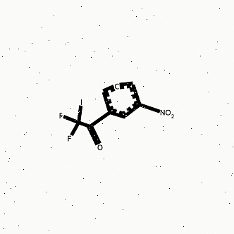 O=C(c1cccc([N+](=O)[O-])c1)C(F)(F)I